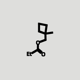 CCC(=O)OCC1(C)CCC1